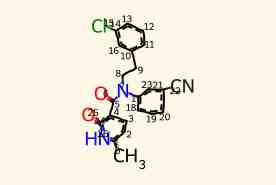 Cc1ccc(C(=O)N(CCc2cccc(Cl)c2)c2cccc(C#N)c2)c(=O)[nH]1